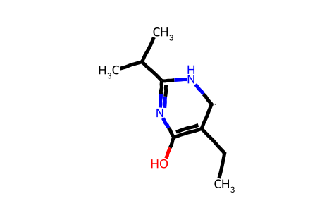 CCC1=C(O)N=C(C(C)C)N[CH]1